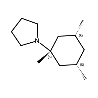 C[C@@H]1C[C@H](C)C[C@](C)(N2CCCC2)C1